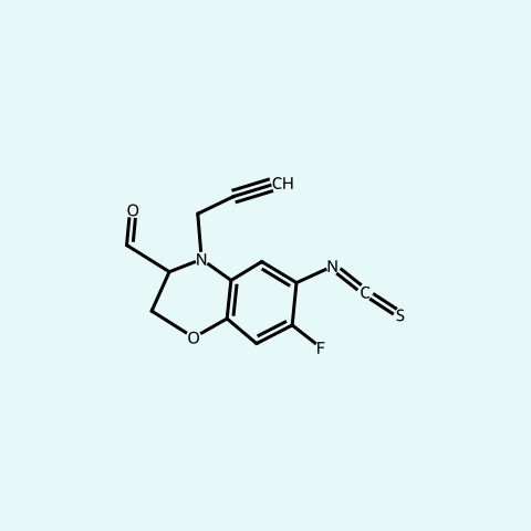 C#CCN1c2cc(N=C=S)c(F)cc2OCC1C=O